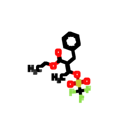 CCOC(=O)C(Cc1ccccc1)=C(C)OS(=O)(=O)C(F)(F)F